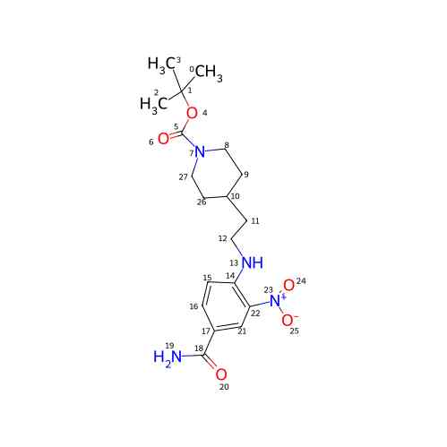 CC(C)(C)OC(=O)N1CCC(CCNc2ccc(C(N)=O)cc2[N+](=O)[O-])CC1